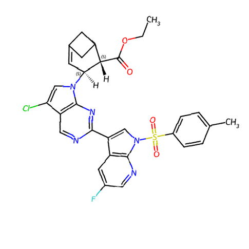 CCOC(=O)[C@H]1C2CC(=C[C@@H]1n1cc(Cl)c3cnc(-c4cn(S(=O)(=O)c5ccc(C)cc5)c5ncc(F)cc45)nc31)C2